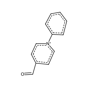 O=Cc1cc[n+](-c2ccccc2)cc1